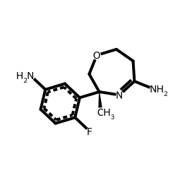 C[C@@]1(c2cc(N)ccc2F)COCCC(N)=N1